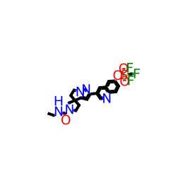 CCNC(=O)N1CCC2(CCn3nc(-c4cnc5ccc(OS(=O)(=O)C(F)(F)F)cc5c4)cc32)C1